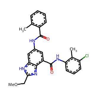 COCc1nc2c(C(=O)Nc3cccc(Cl)c3C)cc(NC(=O)c3ccccc3C)cc2[nH]1